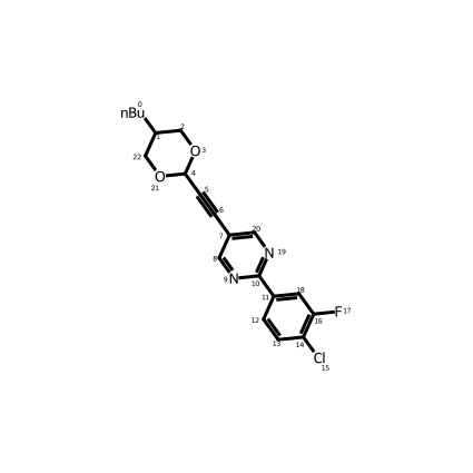 CCCCC1COC(C#Cc2cnc(-c3ccc(Cl)c(F)c3)nc2)OC1